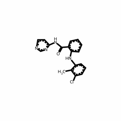 Cc1c(Cl)cccc1Nc1ccccc1C(=O)Nc1ccncn1